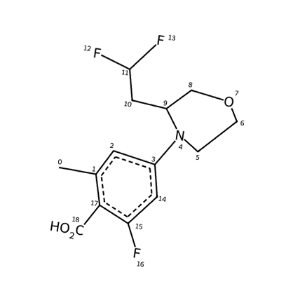 Cc1cc(N2CCOCC2CC(F)F)cc(F)c1C(=O)O